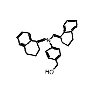 OCc1ccc(N(/C=C2\CCCc3ccccc32)/C=C2\CCCc3ccccc32)cc1